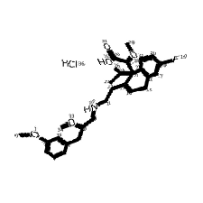 COc1cccc(CC(CNCCC2CCc3cc(F)ccc3C2(C(C)C)C(OC)C(=O)O)OC)c1.Cl